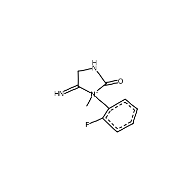 C[N+]1(c2ccccc2F)C(=N)CNC1=O